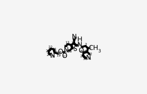 CC(CC(=O)Nc1sc2c(c1C#N)CCN(C(=O)OCc1ccccn1)C2)c1cccnc1